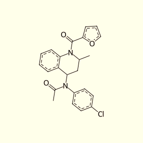 CC(=O)N(c1ccc(Cl)cc1)C1CC(C)N(C(=O)c2ccco2)c2ccccc21